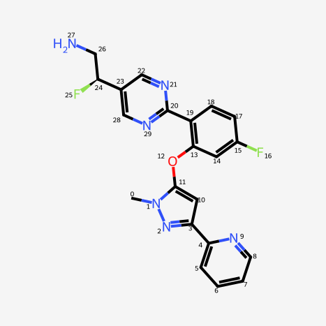 Cn1nc(-c2ccccn2)cc1Oc1cc(F)ccc1-c1ncc([C@@H](F)CN)cn1